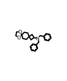 c1ccc(CN(Cc2ccccc2)C2CC3(CCC4(CC3)OCCO4)C2)cc1